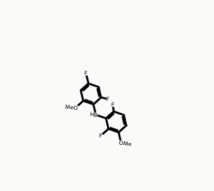 COc1ccc(F)c(Bc2c(F)cc(F)cc2OC)c1F